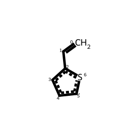 C=Cc1cc[c]s1